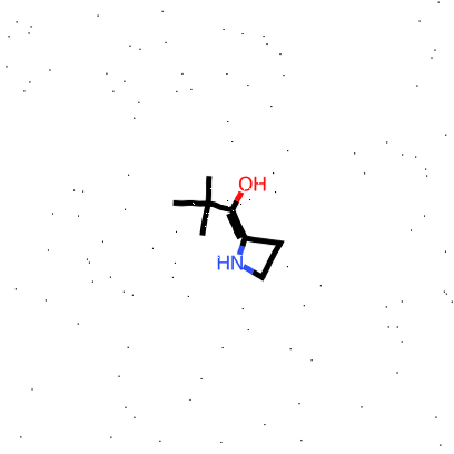 CC(C)(C)/C(O)=C1/CCN1